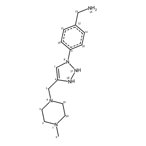 CN1CCN(CC2=CN(c3ccc(CN)cc3)NN2)CC1